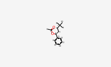 CC(=O)O[C@@H](CCC(C)(C)C)c1ccccc1